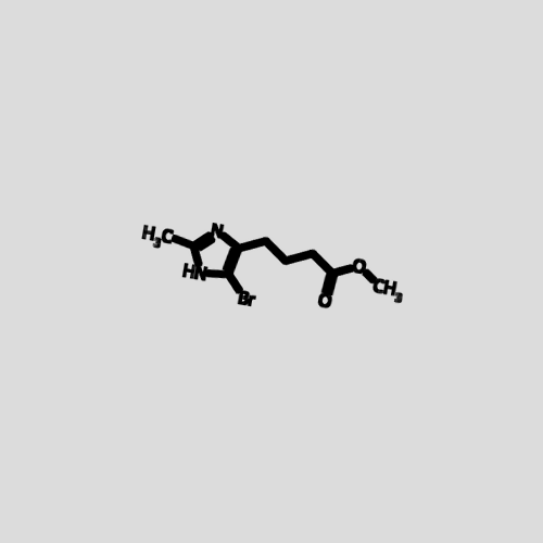 COC(=O)CCCc1nc(C)[nH]c1Br